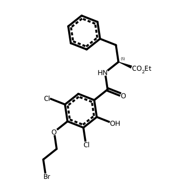 CCOC(=O)[C@H](Cc1ccccc1)NC(=O)c1cc(Cl)c(OCCBr)c(Cl)c1O